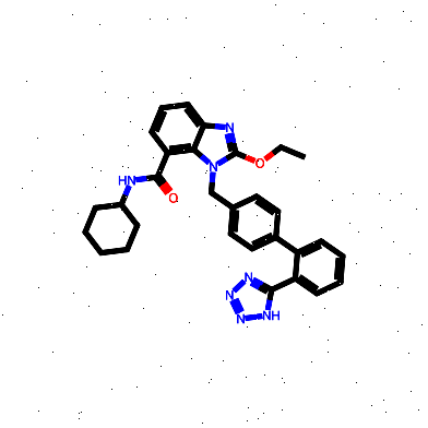 CCOc1nc2cccc(C(=O)NC3CCCCC3)c2n1Cc1ccc(-c2ccccc2-c2nnn[nH]2)cc1